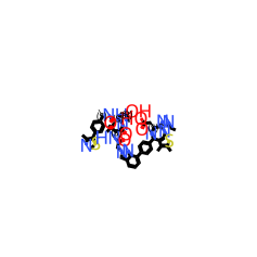 Cc1ncsc1-c1ccc([C@H](C)NC(=O)[C@@H]2C[C@@H](O)CN2C(=O)[C@@H](NC(=O)Cn2cc3cccc(-c4ccc(C5=N[C@@H](CC(=O)O)c6nnc(C)n6-c6sc(C)c(C)c65)cc4)c3n2)C(C)(C)C)cc1